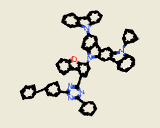 c1ccc(-c2ccc(-c3nc(-c4ccccc4)nc(-c4ccc(-n5c6ccc(-n7c8ccccc8c8ccccc87)cc6c6cc7c(cc65)c5ccccc5n7-c5ccccc5)c5oc6ccccc6c45)n3)cc2)cc1